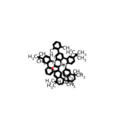 Cc1cccc(C)c1-c1cc2c3c(c1)N(c1ccc(C(C)(C)C)cc1-c1ccccc1)c1sc4cc5c(cc4c1B3N(c1ccc3c(c1)C(C)(C)CCC3(C)C)c1ccc(C(C)(C)C)cc1-2)C(C)(C)CCC5(C)C